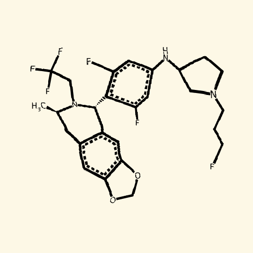 C[C@@H]1Cc2cc3c(cc2[C@@H](c2c(F)cc(NC4CCN(CCCF)C4)cc2F)N1CC(F)(F)F)OCO3